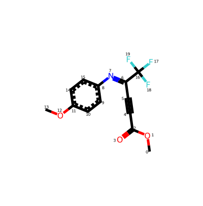 COC(=O)C#C/C(=N\c1ccc(OC)cc1)C(F)(F)F